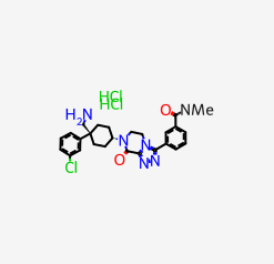 CNC(=O)c1cccc(-c2nnc3n2CCN([C@H]2CC[C@@](CN)(c4cccc(Cl)c4)CC2)C3=O)c1.Cl.Cl